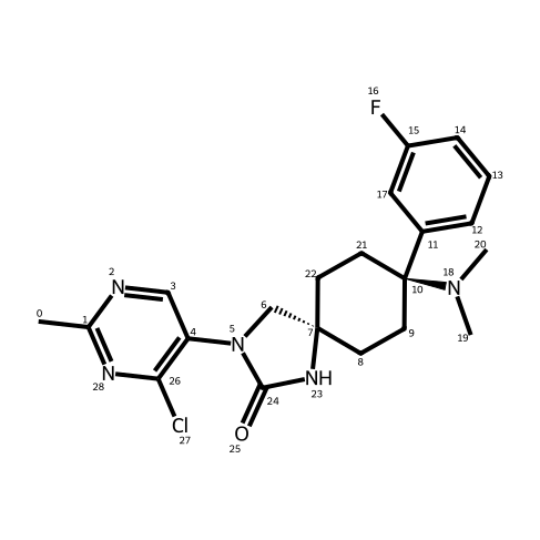 Cc1ncc(N2C[C@]3(CC[C@](c4cccc(F)c4)(N(C)C)CC3)NC2=O)c(Cl)n1